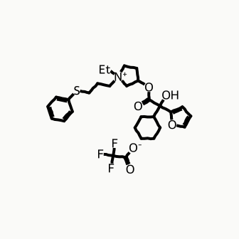 CC[N+]1(CCCSc2ccccc2)CCC(OC(=O)C(O)(c2ccco2)C2CCCCC2)C1.O=C([O-])C(F)(F)F